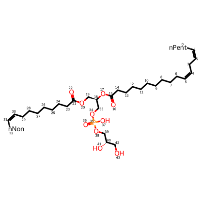 CCCCC/C=C\C/C=C\CCCCCCCCCC(=O)O[C@H](COC(=O)CCCCCCC/C=C\CCCCCCCCC)COP(=O)(O)OC[C@@H](O)CO